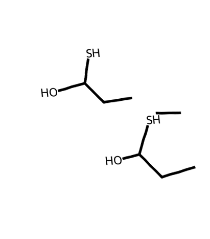 CC.CCC(O)S.CCC(O)S